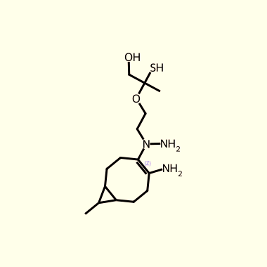 CC1C2CC/C(N)=C(/N(N)CCOC(C)(S)CO)CCC12